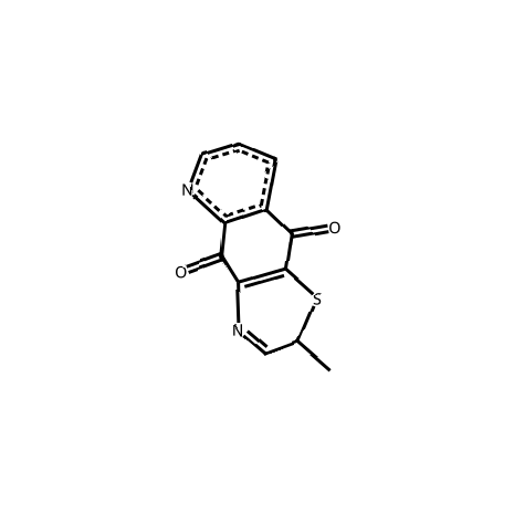 CC1C=NC2=C(S1)C(=O)c1cccnc1C2=O